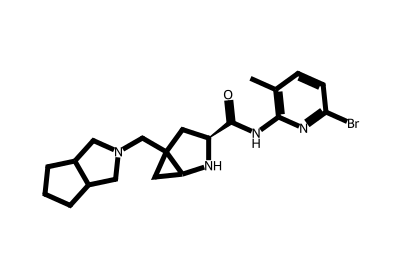 Cc1ccc(Br)nc1NC(=O)[C@@H]1CC2(CN3CC4CCCC4C3)CC2N1